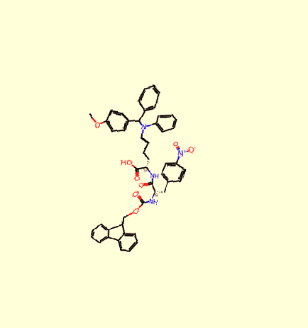 COc1ccc(C(c2ccccc2)N(CCCC[C@H](NC(=O)[C@H](Cc2ccc([N+](=O)[O-])cc2)NC(=O)OCC2c3ccccc3-c3ccccc32)C(=O)O)c2ccccc2)cc1